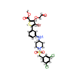 COC(=O)c1sc(-c2cccc(NC3CCN(S(=O)(=O)Cc4cc(Cl)cc(Cl)c4)CC3)c2)c(Br)c1OCC=O